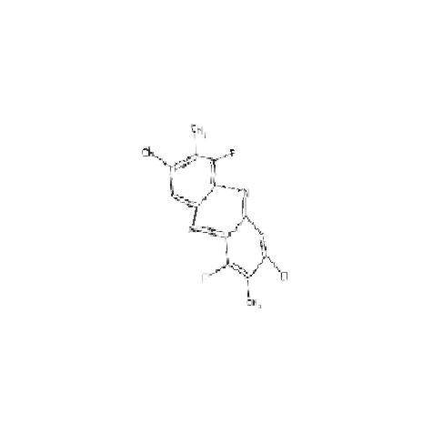 Cc1c(Cl)cc2nc3c(F)c(C)c(Cl)cc3nc2c1F